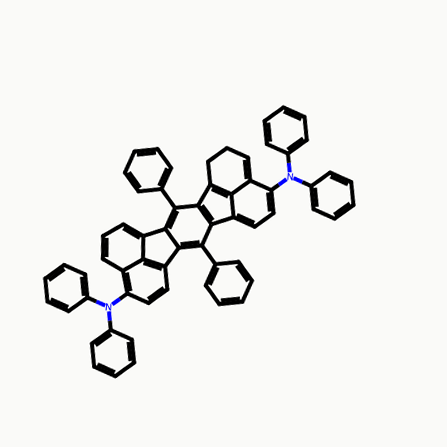 C1=c2c(N(c3ccccc3)c3ccccc3)ccc3c2c(c2c(-c4ccccc4)c4c5cccc6c(N(c7ccccc7)c7ccccc7)ccc(c4c(-c4ccccc4)c23)c65)CC1